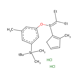 CC[C](CC)=[Ti]([O]c1cc(C)cc([Si](C)(C)C(C)(C)C)c1)[C]1=C(C)C=CC1.Cl.Cl